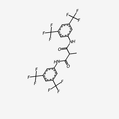 CC(C(=O)Nc1cc(C(F)(F)F)cc(C(F)(F)F)c1)C(=O)Nc1cc(C(F)(F)F)cc(C(F)(F)F)c1